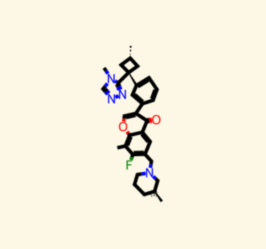 Cc1c(F)c(CN2CCC[C@H](C)C2)cc2c(=O)c(-c3cccc([C@]4(c5nncn5C)C[C@@H](C)C4)c3)coc12